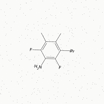 Cc1c(C)c(C(C)C)c(F)c(N)c1F